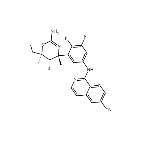 C[C@@H]1[C@@](C)(CI)SC(N)=N[C@]1(C)c1cc(Nc2nccc3cc(C#N)cnc23)cc(F)c1F